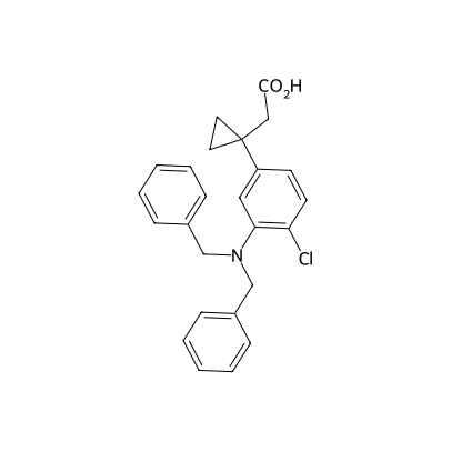 O=C(O)CC1(c2ccc(Cl)c(N(Cc3ccccc3)Cc3ccccc3)c2)CC1